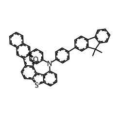 CC1(C)c2ccccc2-c2ccc(-c3ccc(N(c4ccccc4)c4cccc5sc6ccc7c8cc9ccccc9cc8oc7c6c45)cc3)cc21